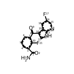 NC(=O)c1cccc(C(=O)c2c[nH]c3ncc(F)cc23)c1F